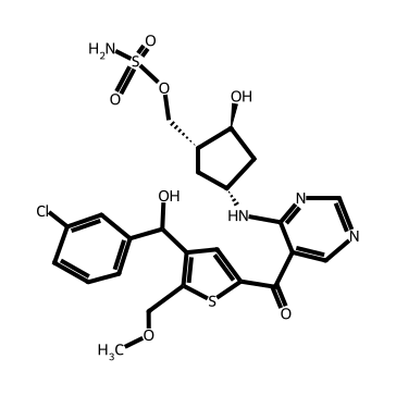 COCc1sc(C(=O)c2cncnc2N[C@@H]2C[C@H](COS(N)(=O)=O)[C@@H](O)C2)cc1C(O)c1cccc(Cl)c1